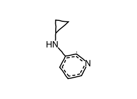 [c]1ncccc1NC1CC1